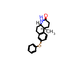 C[C@]12CCC(=O)N[C@@H]1CCc1cc(Sc3ccccc3)ccc12